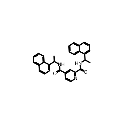 CC(NC(=O)c1ccnc(C(=O)NC(C)c2cccc3ccccc23)c1)c1cccc2ccccc12